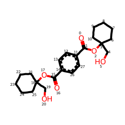 O=C(OC1(CO)CCCCC1)c1ccc(C(=O)OC2(CO)CCCCC2)cc1